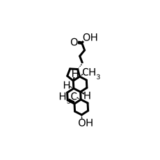 C[C@]12CC[C@H]3[C@@H](CC=C4C[C@@H](O)CC[C@@]43C)[C@@H]1CC[C@@H]2CCCC(=O)O